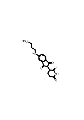 O=C(O)CCCNc1ccc2c(c1)C(=O)C(C1CCC(=O)NC1=O)C2=O